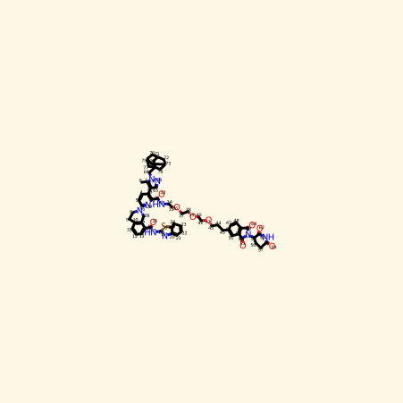 Cc1c(-c2ccc(N3CCc4cccc(C(=O)Nc5nc6ccccc6s5)c4C3)nc2C(=O)NCCOCCOCCOCCCc2ccc3c(c2)C(=O)N(C2CCC(=O)NC2=O)C3=O)cnn1CC12CC3CC(CC(C3)C1)C2